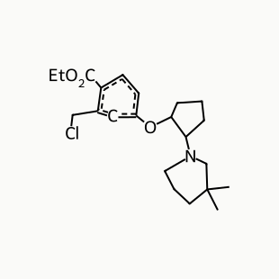 CCOC(=O)c1ccc(OC2CCCC2N2CCCC(C)(C)C2)cc1CCl